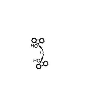 OC1(C#CCOCC#CC2(O)c3ccccc3-c3ccccc32)c2ccccc2-c2ccccc21